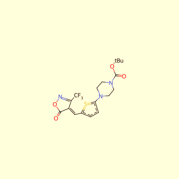 CC(C)(C)OC(=O)N1CCN(c2ccc(C=C3C(=O)ON=C3C(F)(F)F)s2)CC1